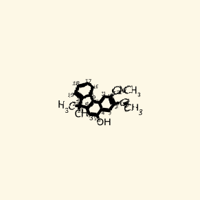 COc1cc2c(O)cc3c(c2cc1OC)-c1ccccc1C3(C)C